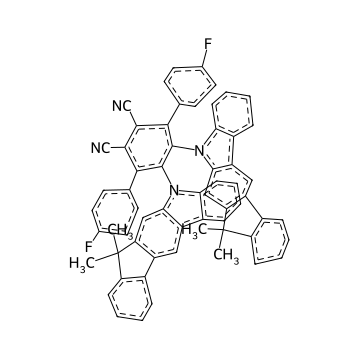 CC1(C)c2ccccc2-c2cc3c4ccccc4n(-c4c(-c5ccc(F)cc5)c(C#N)c(C#N)c(-c5ccc(F)cc5)c4-n4c5ccccc5c5cc6c(cc54)C(C)(C)c4ccccc4-6)c3cc21